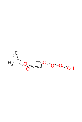 CCCCC(CC)COC(=O)/C=C/c1ccc(OCCOCCOCCO)cc1